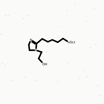 CCCCCCCCCCCCCC1=NCCN1CCO